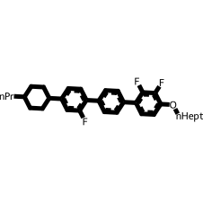 CCCCCCCOc1ccc(-c2ccc(-c3ccc(C4CCC(CCC)CC4)cc3F)cc2)c(F)c1F